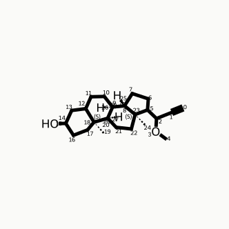 C#CC(OC)C1CC[C@H]2[C@@H]3CCC4CC(O)CC[C@]4(C)[C@@H]3CC[C@]12C